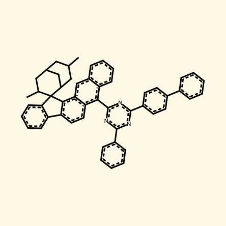 CC1CC2CC(C)C3(c4ccccc4-c4ccc5c(-c6nc(-c7ccccc7)nc(-c7ccc(-c8ccccc8)cc7)n6)c6ccccc6cc5c43)C(C1)C2